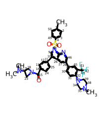 Cc1ccc(S(=O)(=O)n2cc(-c3ccc(C(=O)N4CC(N(C)C)C4)cc3)c3cc(-c4ccc(N5CCN(C)CC5)c(C(F)(F)F)c4)cnc32)cc1